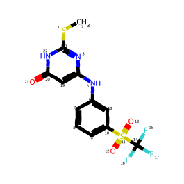 CSc1nc(Nc2cccc(S(=O)(=O)C(F)(F)F)c2)cc(=O)[nH]1